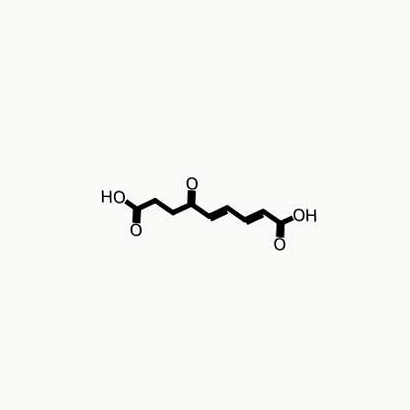 O=C(O)C=CC=CC(=O)CCC(=O)O